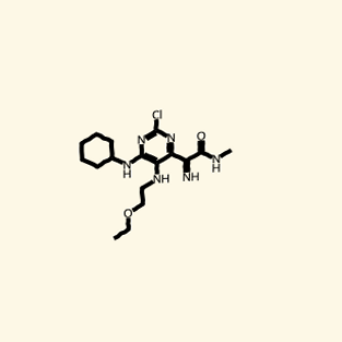 CCOCCNc1c(NC2CCCCC2)nc(Cl)nc1C(=N)C(=O)NC